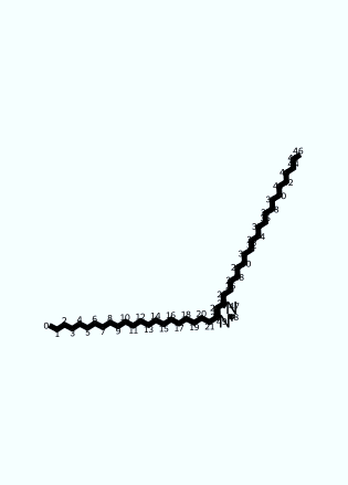 CCCCCCCCCCCCCCCCCCCCCCc1cc(CCCCCCCCCCCCCCCCCCCCCC)n[c]n1